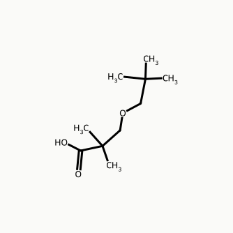 CC(C)(C)COCC(C)(C)C(=O)O